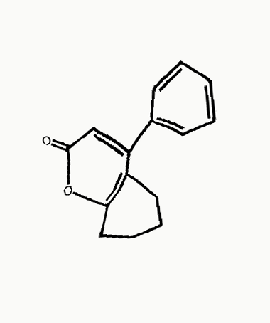 O=c1cc(-c2ccccc2)c2c(o1)CCCC2